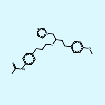 COc1ccc(CCC(Cn2ccnc2)SCCCc2ccc(NC(C)=O)cc2)cc1